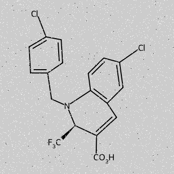 O=C(O)C1=Cc2cc(Cl)ccc2N(Cc2ccc(Cl)cc2)[C@@H]1C(F)(F)F